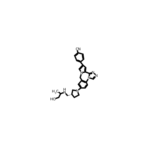 CC(CO)NC[C@H]1CCN(c2ccc3c(c2)Cn2cc(-c4ccc(C#N)cc4)cc2-c2nncn2-3)C1